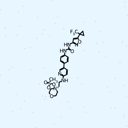 CS(=O)(=O)O[N+]1(CCNc2ccc(-c3ccc(NC(=O)Nc4cc(C5(C(F)(F)F)CC5)on4)cc3)cn2)CCOCC1